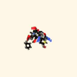 CC(C)(C)[C@]1(C(=O)Nc2cc(Br)sc2C(N)=O)C[C@@H](Oc2ccccc2)CN1C(=O)O